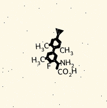 Cc1cc(-c2c(C)cc(C3CC3)cc2C)cc([C@@H](N)CC(=O)O)c1F